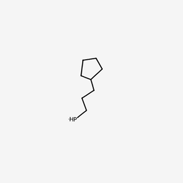 [PH]CCCC1CCCC1